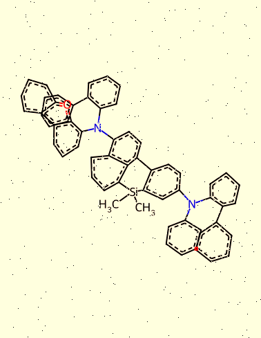 C[Si]1(C)c2cc(N(c3ccccc3)c3ccccc3-c3ccccc3)ccc2-c2ccc(N(c3ccccc3-c3ccccc3)c3cccc4c3oc3ccccc34)c3cccc1c23